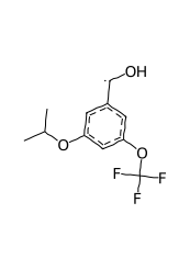 CC(C)Oc1cc([CH]O)cc(OC(F)(F)F)c1